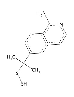 CC(C)(SS)c1ccc2c(N)nccc2c1